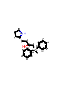 C[Si](C[C@@H](O)CC[C@@H]1CCCN1)(c1ccccc1)c1ccccc1